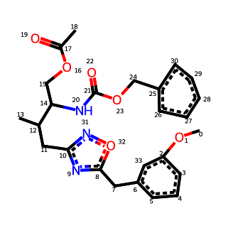 COc1cccc(Cc2nc(CC(C)C(COC(C)=O)NC(=O)OCc3ccccc3)no2)c1